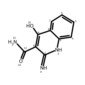 N=c1[nH]c2ccccc2c(O)c1C(N)=O